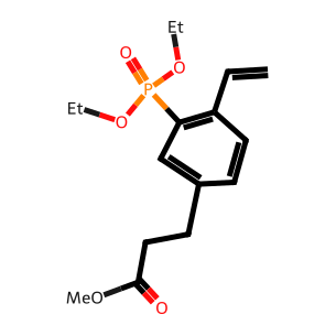 C=Cc1ccc(CCC(=O)OC)cc1P(=O)(OCC)OCC